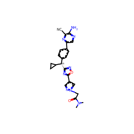 CN(C)C(=O)Cn1cc(-c2nc([C@@H](c3ccc(-c4cnc(N)c(C#N)n4)cc3)C3CC3)no2)cn1